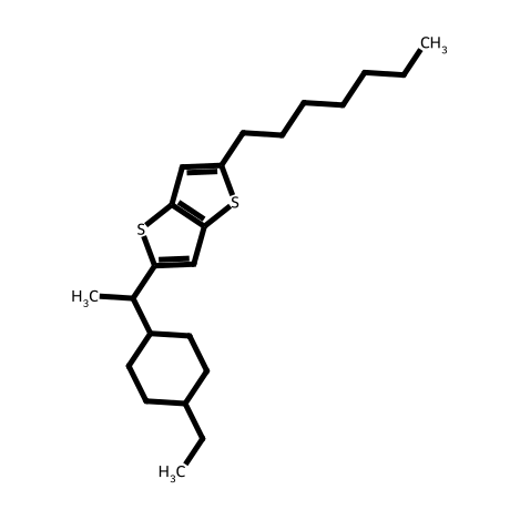 CCCCCCCc1cc2sc(C(C)C3CCC(CC)CC3)cc2s1